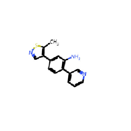 Cc1sncc1-c1ccc(-c2cccnc2)c(N)c1